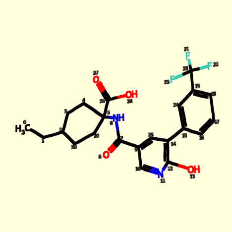 CCC1CCC(NC(=O)c2cnc(O)c(-c3cccc(C(F)(F)F)c3)c2)(C(=O)O)CC1